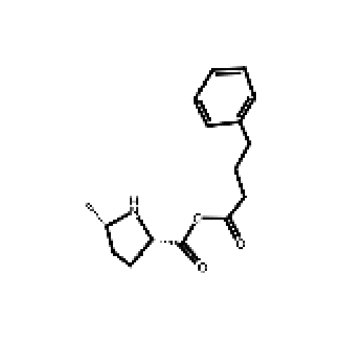 C[C@H]1CC[C@@H](C(=O)OC(=O)CCCc2ccccc2)N1